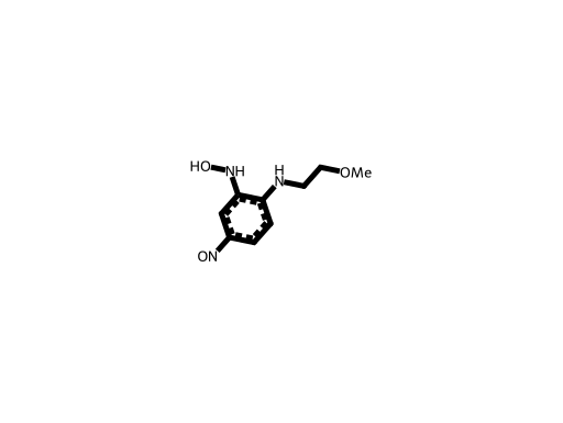 COCCNc1ccc(N=O)cc1NO